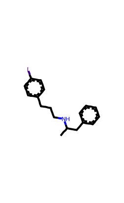 CC(Cc1ccccc1)NCCCc1ccc(I)cc1